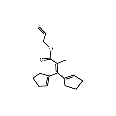 C=CCOC(=O)C(C)=C(C1=CCCC1)C1=CCCC1